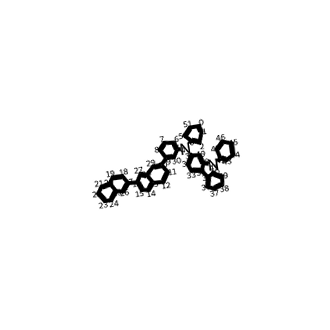 c1ccc(N(c2cccc(-c3ccc4ccc(-c5ccc6ccccc6c5)cc4c3)c2)c2ccc3c4ccccc4n(-c4ccccc4)c3c2)cc1